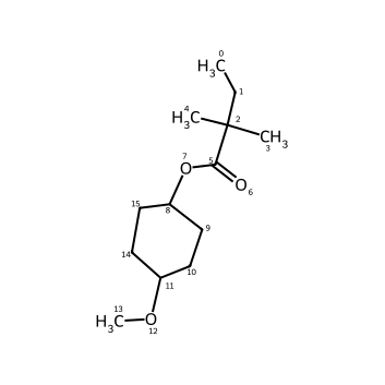 CCC(C)(C)C(=O)OC1CCC(OC)CC1